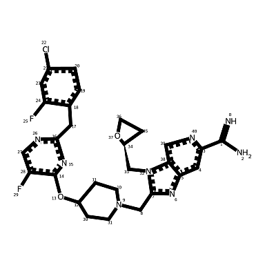 N=C(N)c1cc2nc(CN3CCC(Oc4nc(Cc5ccc(Cl)cc5F)ncc4F)CC3)n(C[C@@H]3CCO3)c2cn1